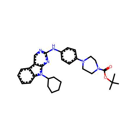 CC(C)(C)OC(=O)N1CCN(c2ccc(Nc3ncc4c5ccccc5n(C5CCCCC5)c4n3)cc2)CC1